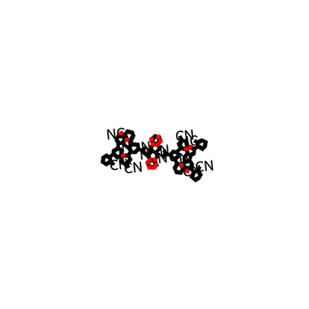 N#Cc1cccc(-c2cc(-c3nc(-c4ccccc4)c(-c4c(-c5ccccc5)nc(-c5cc(-c6cccc(C#N)c6)c(-n6c7ccc(-c8ccccc8C#N)cc7c7cc(-c8ccccc8C#N)ccc76)c(-c6cccc(C#N)c6)c5)nc4-c4ccccc4)c(-c4ccccc4)n3)cc(-c3cccc(C#N)c3)c2-n2c3ccccc3c3cc(-c4ccccc4C#N)ccc32)c1